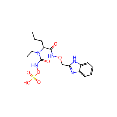 CCC[C@@H](C(=O)NOCc1nc2ccccc2[nH]1)N(CC)C(=O)NOS(=O)(=O)O